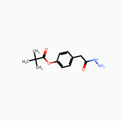 CC(C)(C)C(=O)Oc1ccc(CC(=O)NN)cc1